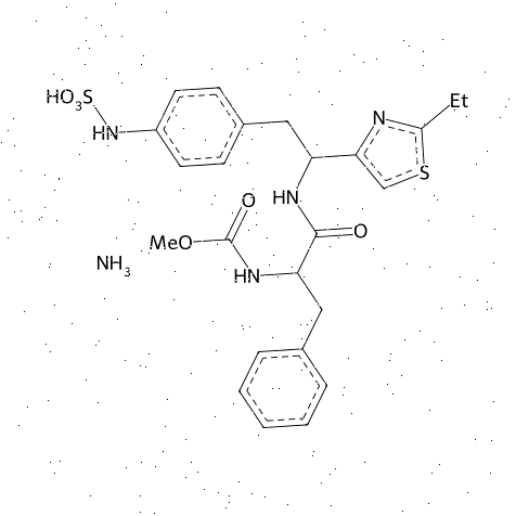 CCc1nc(C(Cc2ccc(NS(=O)(=O)O)cc2)NC(=O)C(Cc2ccccc2)NC(=O)OC)cs1.N